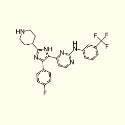 Fc1ccc(-c2nc(C3CCNCC3)[nH]c2-c2ccnc(Nc3cccc(C(F)(F)F)c3)n2)cc1